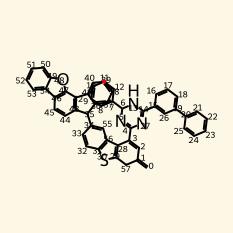 C=C1C=C(C2=NC(c3ccccc3)NC(c3cccc(-c4ccccc4)c3)=N2)c2c(sc3ccc(C4c5ccccc5-c5c4ccc4c5oc5ccccc54)cc23)C1